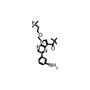 CC(C)(C)C(=O)c1cn(COCC[Si](C)(C)C)c2ncc(-c3cccc(N)c3)nc12